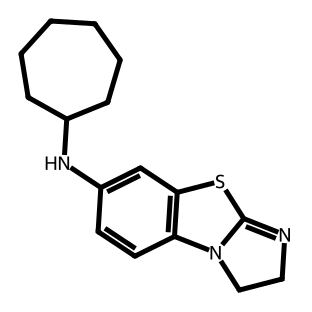 c1cc2c(cc1NC1CCCCCC1)SC1=NCCN12